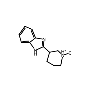 [CH2-][NH+]1CCCC(c2nc3ccccc3[nH]2)C1